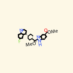 COC(=O)c1ccc2[nH]c([C@H](OC)[C@H]3CC[C@@H](c4ccnc5ccc(F)cc54)CC3)nc2c1